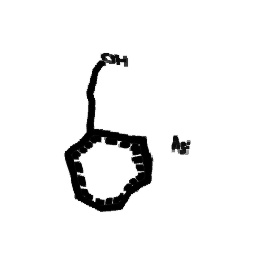 OCc1ccccc1.[As]